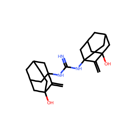 C=C1C2(O)CC3CC(C2)CC1(NC(=N)NC12CC4CC(CC(O)(C4)C1=C)C2)C3